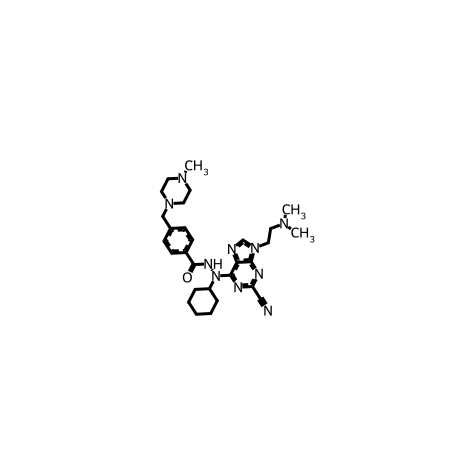 CN(C)CCn1cnc2c(N(NC(=O)c3ccc(CN4CCN(C)CC4)cc3)C3CCCCC3)nc(C#N)nc21